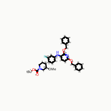 CO[C@H]1CN(C(=O)OC(C)(C)C)CC[C@@H]1c1ccc(Nc2ccc(OCc3ccccc3)nc2OCc2ccccc2)cc1F